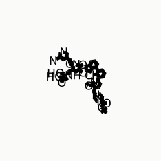 COc1nc(-c2cccc(-c3cccc4c3CC[C@@H]4Oc3nc(OCc4cncc(C#N)c4)c(CNC(C)(CO)C(=O)O)cc3Cl)c2Cl)ccc1CN1CCN(C(=O)OC(C)(C)C)CC1